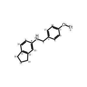 CCOc1ccc(CNc2ccc3c(c2)CCC3)cc1